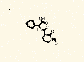 O=CN1CCCN(C(=O)NC(C(=O)O)c2ccccc2)C1=O